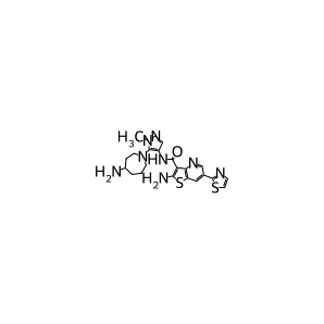 Cn1ncc(NC(=O)c2c(N)sc3cc(-c4nccs4)cnc23)c1N1CCCC(N)CC1